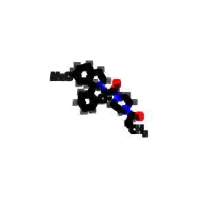 C=CC(=O)N1CCN(C(=O)CN2CCc3ccc(OC)cc3C2c2ccccc2C)CC1